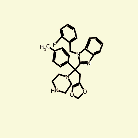 Cc1ccc(C(CC2=COCO2)(c2nc3ccccc3n2Cc2ccccc2F)N2CCNCC2)cc1